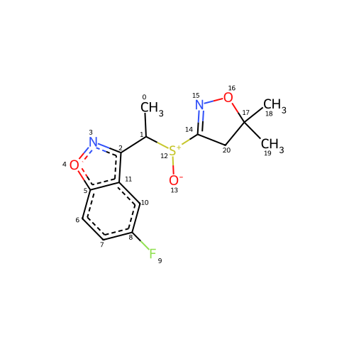 CC(c1noc2ccc(F)cc12)[S+]([O-])C1=NOC(C)(C)C1